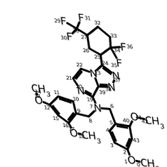 COc1ccc(CN(Cc2ccc(OC)cc2OC)c2nccn3c(C4CC(C(F)(F)F)CCC4(F)F)nnc23)c(OC)c1